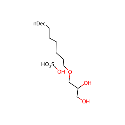 CCCCCCCCCCCCCCCCOCC(O)CO.O=S(=O)(O)O